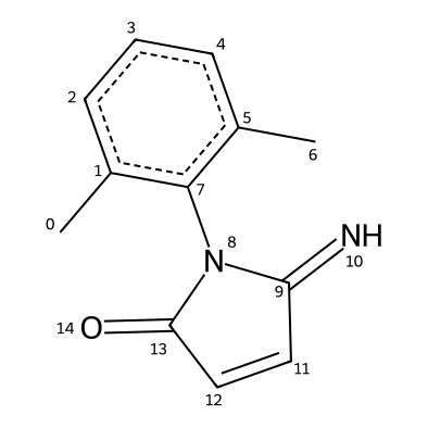 Cc1cccc(C)c1N1C(=N)C=CC1=O